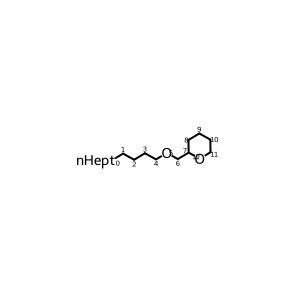 CCCCCCCCCCCOCC1CCCCO1